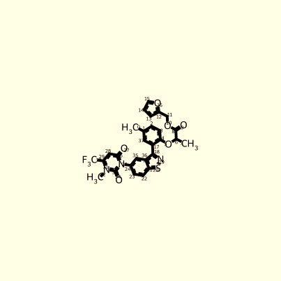 Cc1ccc(OC(C)C(=O)OCc2ccco2)c(-c2nsc3ccc(-n4c(=O)cc(C(F)(F)F)n(C)c4=O)cc23)c1